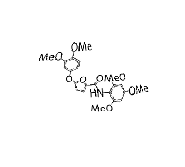 COc1cc(OC)c(NC(=O)c2ccc(Oc3ccc(OC)c(OC)c3)o2)c(OC)c1